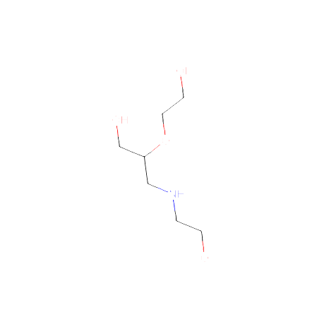 OCCNCC(CO)OCCO